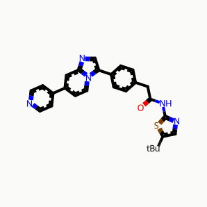 CC(C)(C)c1cnc(NC(=O)Cc2ccc(-c3cnc4cc(-c5ccncc5)ccn34)cc2)s1